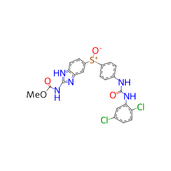 COC(=O)Nc1nc2cc([S+]([O-])c3ccc(NC(=O)Nc4cc(Cl)ccc4Cl)cc3)ccc2[nH]1